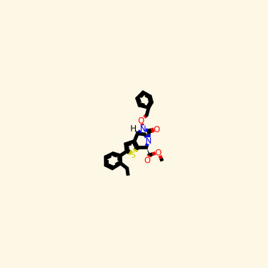 CCc1ccccc1-c1cc2c(s1)[C@@H](C(=O)OC)N1C[C@@H]2N(OCc2ccccc2)C1=O